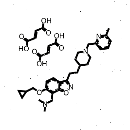 Cc1cccc(CN2CCC(CCc3noc4c(CN(C)C)c(OCC5CC5)ccc34)CC2)n1.O=C(O)C=CC(=O)O.O=C(O)C=CC(=O)O